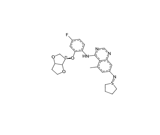 Cc1cc(N=S2CCCC2)cc2ncnc(Nc3ccc(F)cc3O[C@@H]3COC4CCOC43)c12